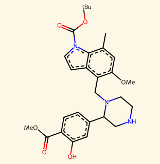 COC(=O)c1ccc(C2CNCCN2Cc2c(OC)cc(C)c3c2ccn3C(=O)OC(C)(C)C)cc1O